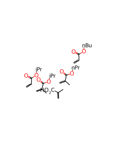 C=C(C)C(=O)O.C=C(C)C(=O)OC(C)C.C=C(C)C(=O)OCCC.C=CC(=O)OC(C)C.C=CC(=O)OCCCC